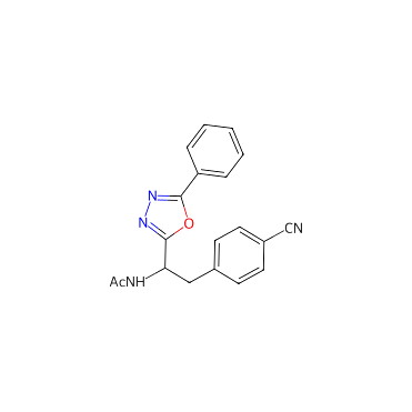 CC(=O)NC(Cc1ccc(C#N)cc1)c1nnc(-c2ccccc2)o1